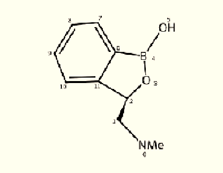 CNC[C@@H]1OB(O)c2ccccc21